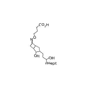 CCCCCCCC(O)CCC1CC2C(=NOCCCC(=O)O)CC2C1O